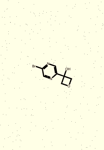 OC1(c2cnc(Br)cn2)COC1